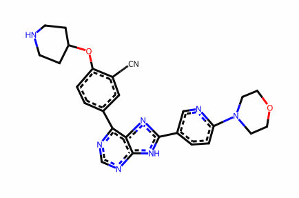 N#Cc1cc(-c2ncnc3[nH]c(-c4ccc(N5CCOCC5)nc4)nc23)ccc1OC1CCNCC1